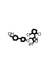 CC(C)c1onc(-c2c(Cl)cccc2Cl)c1COc1ccc(-c2ccc(CO)cc2)cc1